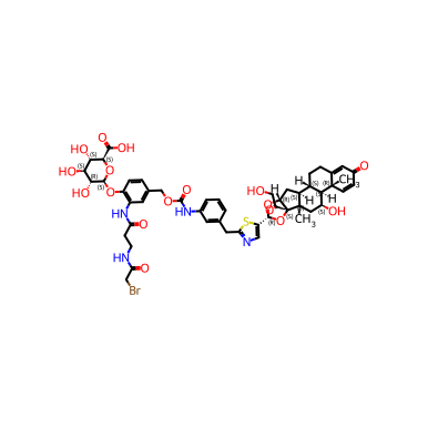 C[C@]12C=CC(=O)C=C1CC[C@@H]1[C@@H]2[C@@H](O)C[C@@]2(C)[C@H]1C[C@H]1O[C@@H](c3cnc(Cc4cccc(NC(=O)OCc5ccc(O[C@@H]6O[C@H](C(=O)O)[C@@H](O)[C@H](O)[C@H]6O)c(NC(=O)CCNC(=O)CBr)c5)c4)s3)O[C@]12C(=O)CO